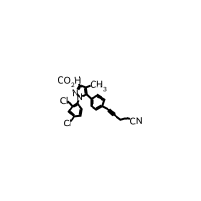 Cc1c(C(=O)O)nn(-c2ccc(Cl)cc2Cl)c1-c1ccc(C#CCCC#N)cc1